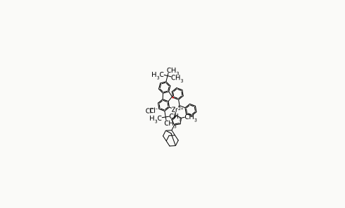 CC1C=C(C2C3CC4CC(C3)CC2C4)C=[C]1[Zr+2](=[C](c1ccccc1)c1ccccc1)[c]1c(C(C)(C)C)ccc2c1Cc1cc(C(C)(C)C)ccc1-2.[Cl-].[Cl-]